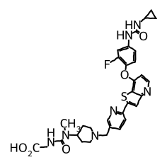 CN(C(=O)NCC(=O)O)C1CCN(Cc2ccc(-c3cc4nccc(Oc5ccc(NC(=O)NC6CC6)cc5F)c4s3)nc2)CC1